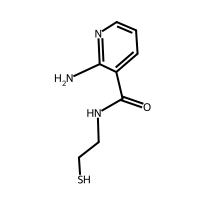 Nc1ncccc1C(=O)NCCS